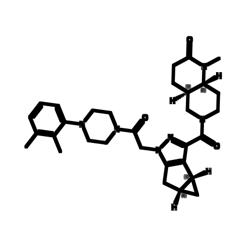 Cc1cccc(N2CCN(C(=O)Cn3nc(C(=O)N4CC[C@@H]5[C@H](CCC(=O)N5C)C4)c4c3C[C@H]3C[C@@H]43)CC2)c1C